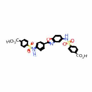 O=C(O)c1ccc(S(=O)(=O)Nc2ccc(-c3nc4cc(NS(=O)(=O)c5ccc(C(=O)O)cc5)ccc4o3)cc2)cc1